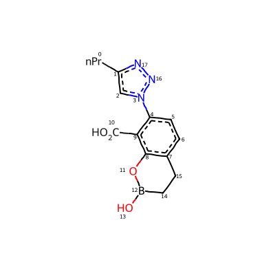 CCCc1cn(-c2ccc3c(c2C(=O)O)OB(O)CC3)nn1